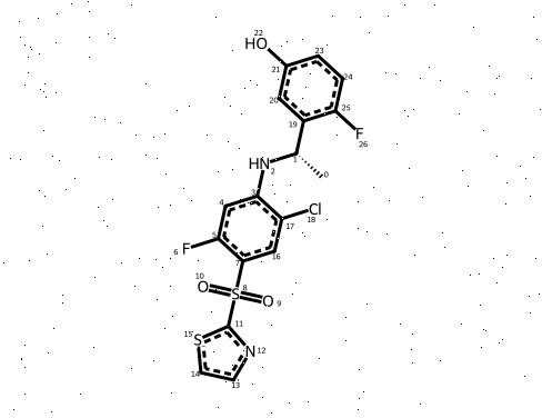 C[C@H](Nc1cc(F)c(S(=O)(=O)c2n[c]cs2)cc1Cl)c1cc(O)ccc1F